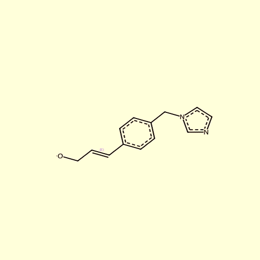 [O]C/C=C/c1ccc(Cn2ccnc2)cc1